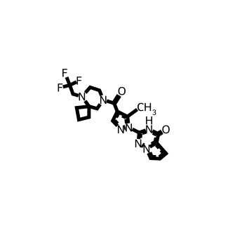 Cc1c(C(=O)N2CCN(CC(F)(F)F)C3(CCC3)C2)cnn1-c1nn2cccc2c(=O)[nH]1